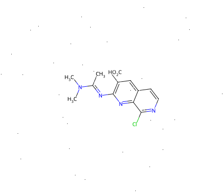 CC(=Nc1nc2c(Cl)nccc2cc1C(=O)O)N(C)C